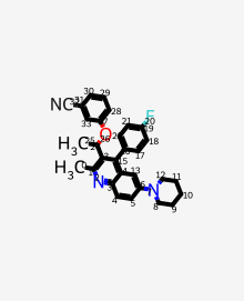 Cc1nc2ccc(N3CCCCC3)cc2c(-c2ccc(F)cc2)c1C(C)Oc1cccc(C#N)c1